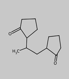 CC(CC1CCCC1=O)C1CCCC1=O